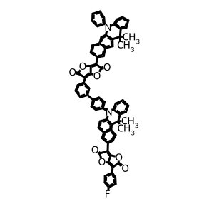 CC1(C)c2ccccc2N(c2ccccc2)c2cc3ccc(C4=C5OC(=O)C(c6cccc(-c7ccc(N8c9ccccc9C(C)(C)c9c8ccc8cc(C%10=C%11OC(=O)C(c%12ccc(F)cc%12)=C%11OC%10=O)ccc98)cc7)c6)=C5OC4=O)cc3cc21